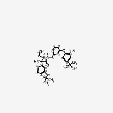 C=CNC(C)(C(=O)NCc1cc(Oc2ccc(C(O)(C(F)(F)F)C(F)(F)F)cc2CCC)ccn1)c1ccc2c(c1)CC(C)(C)O2